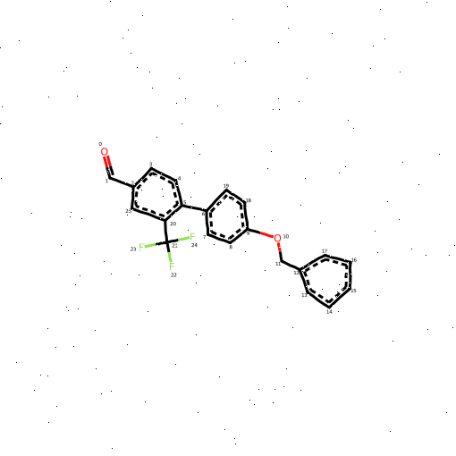 O=Cc1ccc(-c2ccc(OCc3ccccc3)cc2)c(C(F)(F)F)c1